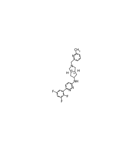 Cc1cccc(CN2C[C@H]3CC(Nc4ccc(-c5cc(F)cc(F)c5F)nn4)C[C@H]3C2)n1